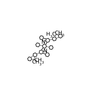 CC1(C)c2ccccc2-c2ccc(-c3cc4c5ccccc5n5c6c(-c7ccccc7)c7c8cc(-c9ccc%10c(c9)C(C)(C)c9ccccc9-%10)cc9c%10ccccc%10n(c7c(-c7ccccc7)c6c(c3)c45)c98)cc21